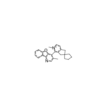 Cc1cnc2c(oc3ccccc32)c1-c1c2c(cc[n+]1C)CC1(CCCC1)C2